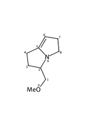 COCC1CCC2=CCCN21